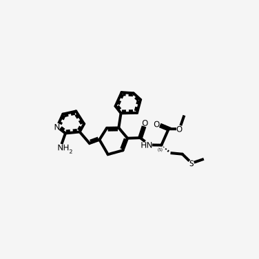 COC(=O)[C@H](CCSC)NC(=O)C1=CCC(=Cc2cccnc2N)C=C1c1ccccc1